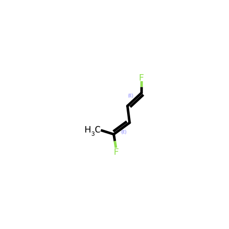 C/C(F)=C\C=C\F